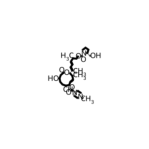 C/C(=C\C=C\[C@@H](C)COC(=O)N1CCC[C@@H]1CO)[C@H]1OC(=O)C[C@@H](O)CC[C@@H](C)[C@H](OC(=O)N2CCN(C)CC2)/C=C/[C@@H]1C